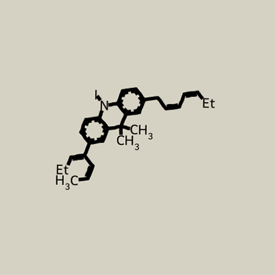 C/C=C\C(=C/CC)c1ccc2c(c1)C(C)(C)c1cc(C/C=C\C=C/CC)ccc1N2I